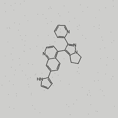 c1ccc(-c2nn3c(c2-c2ccnc4cc(-c5ccc[nH]5)ccc24)CCC3)nc1